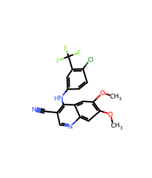 COc1cc2ncc(C#N)c(Nc3ccc(Cl)c(C(F)(F)F)c3)c2cc1OC